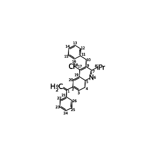 C=C(C1=CCC2N=C(C(C)C)C(Cc3ccccc3)=C(Cl)C2=C1)c1ccccc1